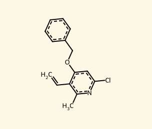 C=Cc1c(OCc2ccccc2)cc(Cl)nc1C